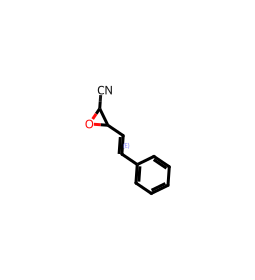 N#CC1OC1/C=C/c1ccccc1